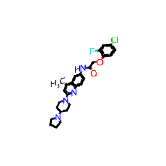 Cc1cc(N2CCC(N3CCCC3)CC2)nc2ccc(NC(=O)COc3ccc(Cl)cc3F)cc12